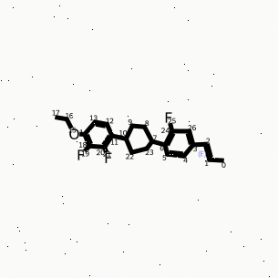 C/C=C/c1ccc(C2CCC(c3ccc(OCC)c(F)c3F)CC2)c(F)c1